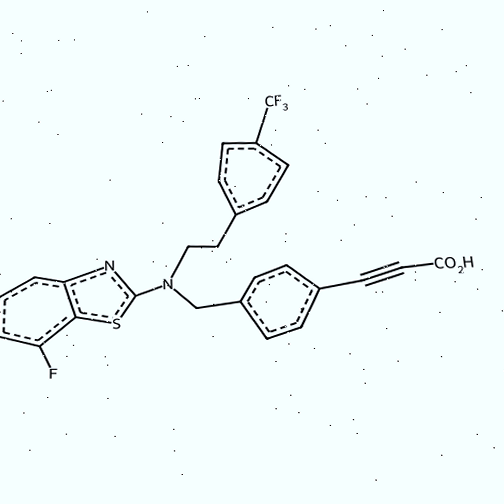 O=C(O)C#Cc1ccc(CN(CCc2ccc(C(F)(F)F)cc2)c2nc3cccc(F)c3s2)cc1